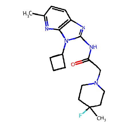 Cc1ccc2nc(NC(=O)CN3CCC(C)(F)CC3)n(C3CCC3)c2n1